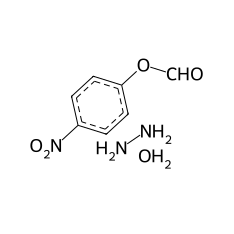 NN.O.O=COc1ccc([N+](=O)[O-])cc1